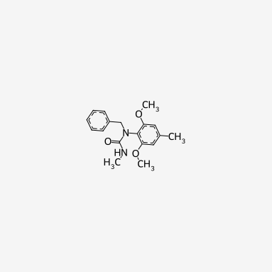 CNC(=O)N(Cc1ccccc1)c1c(OC)cc(C)cc1OC